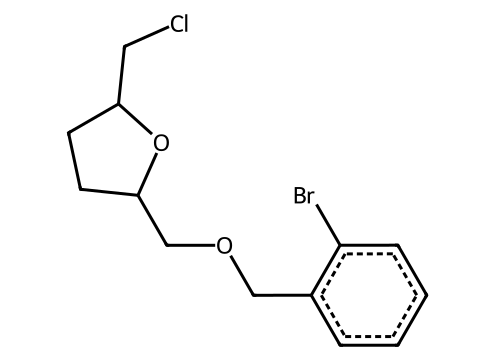 ClCC1CCC(COCc2ccccc2Br)O1